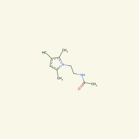 [CH]c1cc(C)n(CCNC(C)=O)c1C